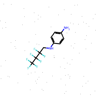 Nc1ccc(NCC(F)(F)C(F)(F)C(F)(F)F)cc1